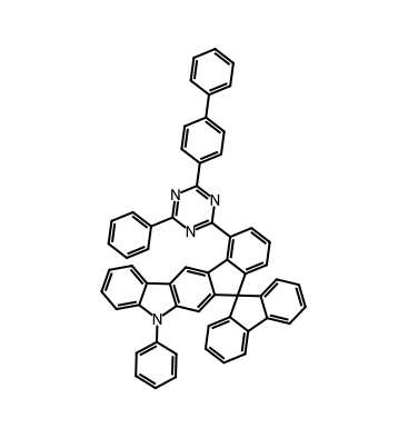 c1ccc(-c2ccc(-c3nc(-c4ccccc4)nc(-c4cccc5c4-c4cc6c7ccccc7n(-c7ccccc7)c6cc4C54c5ccccc5-c5ccccc54)n3)cc2)cc1